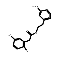 COc1cccc(CCNC(=O)Cc2cc(O)ccc2Br)c1